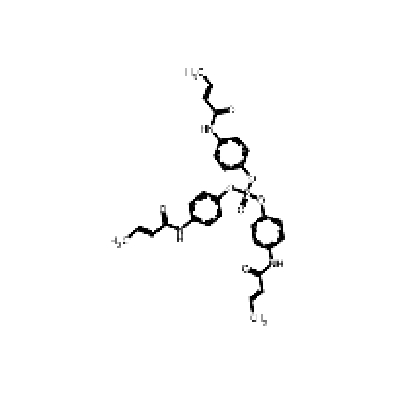 CC=CC(=O)Nc1ccc(OP(=O)(Oc2ccc(NC(=O)C=CC)cc2)Oc2ccc(NC(=O)C=CC)cc2)cc1